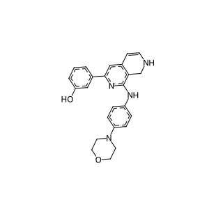 Oc1cccc(-c2cc3c(c(Nc4ccc(N5CCOCC5)cc4)n2)CNC=C3)c1